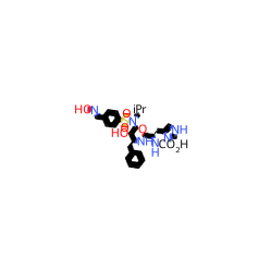 CC(C)CN(C[C@@H](O)[C@H](Cc1ccccc1)NC(=O)[C@H](Cc1c[nH]cn1)NC(=O)O)S(=O)(=O)c1ccc(C=NO)cc1